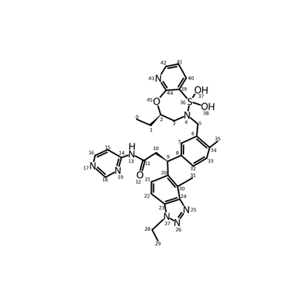 CC[C@@H]1CN(Cc2cc([C@H](CC(=O)Nc3ccncn3)c3ccc4c(nnn4CC)c3C)ccc2C)S(O)(O)c2cccnc2O1